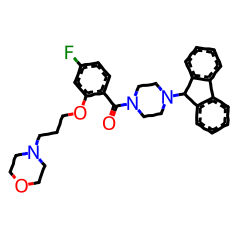 O=C(c1ccc(F)cc1OCCCN1CCOCC1)N1CCN(C2c3ccccc3-c3ccccc32)CC1